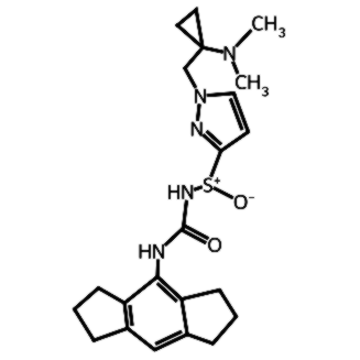 CN(C)C1(Cn2ccc([S+]([O-])NC(=O)Nc3c4c(cc5c3CCC5)CCC4)n2)CC1